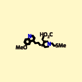 COc1ccc2nccc(CCC[C@@H]3CCN(CCSC)C[C@@H]3CCC(=O)O)c2c1